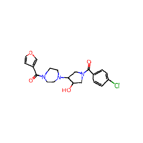 O=C(c1ccoc1)N1CCN(C2CN(C(=O)c3ccc(Cl)cc3)CC2O)CC1